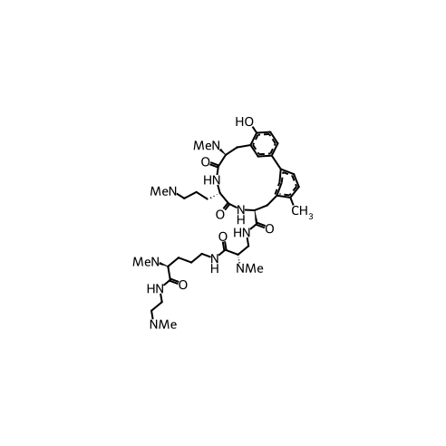 CNCCC[C@@H]1NC(=O)[C@@H](NC)Cc2cc(ccc2O)-c2ccc(C)c(c2)C[C@@H](C(=O)NC[C@H](NC)C(=O)NCCC[C@H](NC)C(=O)NCCNC)NC1=O